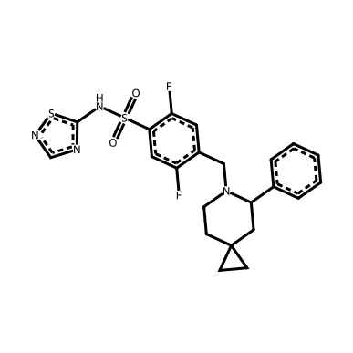 O=S(=O)(Nc1ncns1)c1cc(F)c(CN2CCC3(CC3)CC2c2ccccc2)cc1F